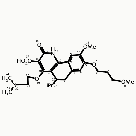 COCCCOc1cc2c(cc1OC)-c1[nH]c(=O)c(C(=O)O)c(OCCN(C)C)c1C(C(C)C)C2